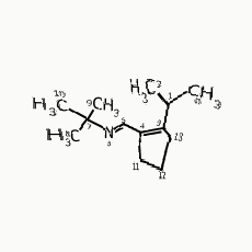 CC(C)C1=C(/C=N/C(C)(C)C)CCC1